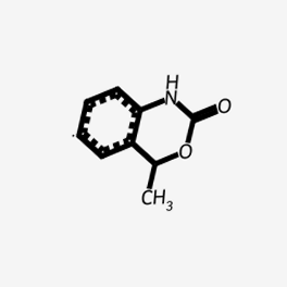 CC1OC(=O)Nc2cc[c]cc21